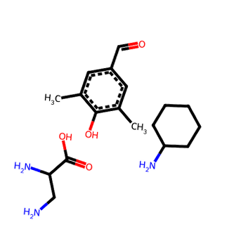 Cc1cc(C=O)cc(C)c1O.NC1CCCCC1.NCC(N)C(=O)O